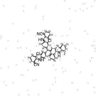 Cc1cc(C)c(Nc2ccc(C(c3ccc(Nc4c(Cl)cccc4C#N)cc3)c3ccc(Nc4c(Cl)cccc4C#N)cc3)c3ccccc23)c(C)c1